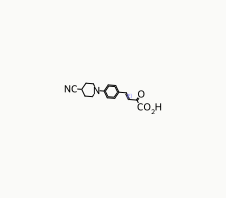 N#CC1CCN(c2ccc(/C=C/C(=O)C(=O)O)cc2)CC1